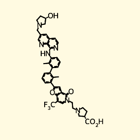 Cc1c(Nc2nccc3cc(CN4CC[C@@H](O)C4)cnc23)cccc1-c1cccc(-c2cc3c(=O)n(CCN4CC[C@@H](C(=O)O)C4)cc(C(F)(F)F)c3o2)c1C